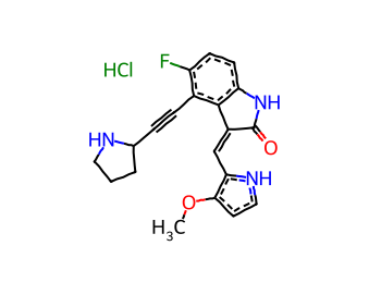 COc1cc[nH]c1/C=C1\C(=O)Nc2ccc(F)c(C#CC3CCCN3)c21.Cl